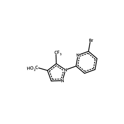 O=C(O)c1cnn(-c2cccc(Br)n2)c1C(F)(F)F